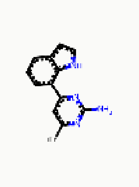 CC(C)c1cc(-c2cccc3cc[nH]c23)nc(N)n1